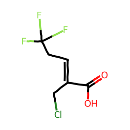 O=C(O)C(=CCC(F)(F)F)CCl